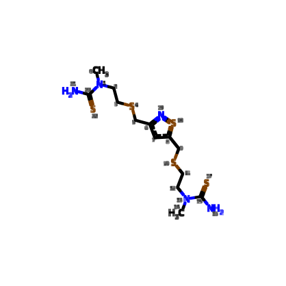 CN(CCSCc1cc(CSCCN(C)C(N)=S)sn1)C(N)=S